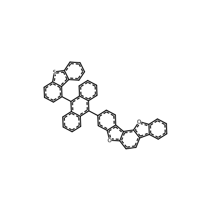 c1ccc2c(c1)oc1c2ccc2oc3cc(-c4c5ccccc5c(-c5cccc6sc7ccccc7c56)c5ccccc45)ccc3c21